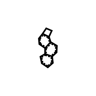 c1ccc2c(c1)ccc1c3c(ccc12)CC3